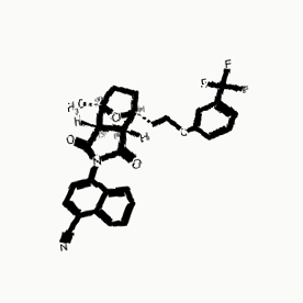 C[C@]12CC[C@](CCOc3cccc(C(F)(F)F)c3)(O1)[C@@H]1C(=O)N(c3ccc(C#N)c4ccccc34)C(=O)[C@@H]12